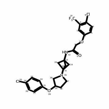 O=C(COc1ccc(Cl)c(C(F)(F)F)c1)NC12CC(N3CCC(Oc4ccc(Cl)cc4)C3)(C1)C2